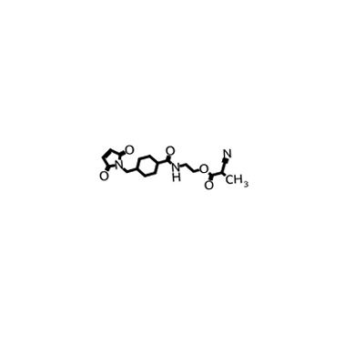 CC(C#N)C(=O)OCCNC(=O)C1CCC(CN2C(=O)C=CC2=O)CC1